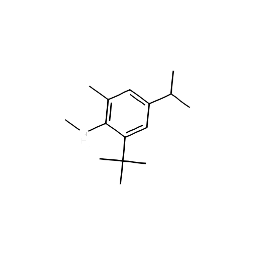 C[SiH2]c1c(C)cc(C(C)C)cc1C(C)(C)C